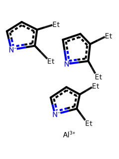 CCc1cc[n-]c1CC.CCc1cc[n-]c1CC.CCc1cc[n-]c1CC.[Al+3]